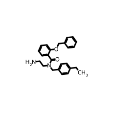 CCc1ccc(CN(CCN)C(=O)c2ccccc2OCc2ccccc2)cc1